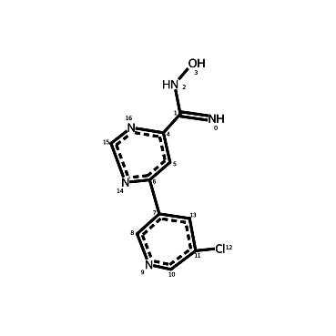 N=C(NO)c1cc(-c2cncc(Cl)c2)ncn1